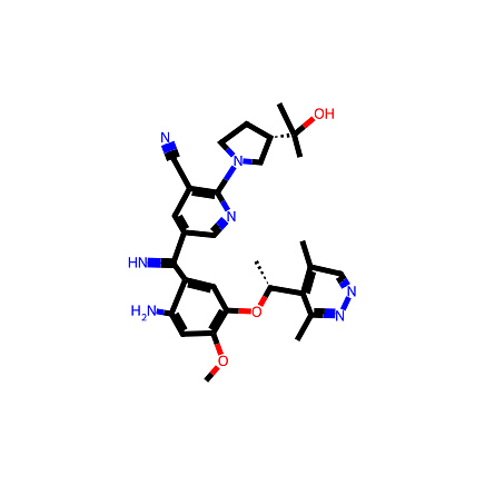 COc1cc(N)c(C(=N)c2cnc(N3CC[C@H](C(C)(C)O)C3)c(C#N)c2)cc1O[C@H](C)c1c(C)cnnc1C